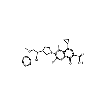 COCC(Nc1ccccc1)C1CCN(c2c(F)cn3c(=O)c(C(=O)O)cc(C4CC4)c3c2C)C1